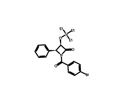 CC[Si](CC)(CC)O[C@H]1C(=O)N(C(=O)c2ccc(Br)cc2)[C@H]1c1ccccc1